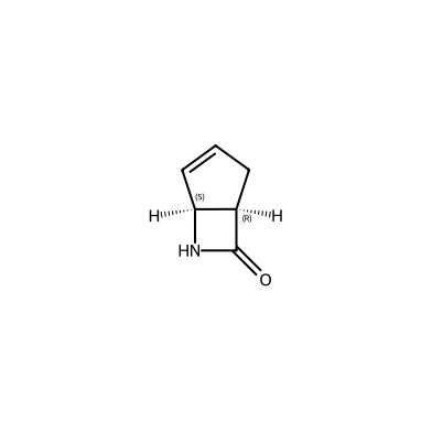 O=C1N[C@H]2C=CC[C@@H]12